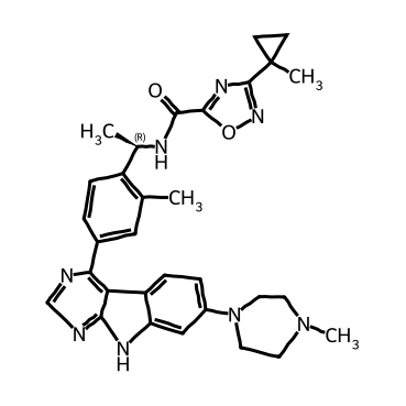 Cc1cc(-c2ncnc3[nH]c4cc(N5CCN(C)CC5)ccc4c23)ccc1[C@@H](C)NC(=O)c1nc(C2(C)CC2)no1